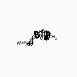 CNC(=O)C1CN(CCOc2ccc(NC(=O)Nc3ccnn3-c3cc(C(C)(C)C)ccc3C)c3ccccc23)CCO1